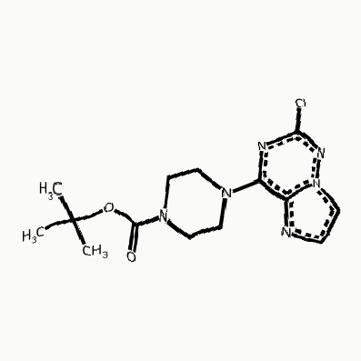 CC(C)(C)OC(=O)N1CCN(c2nc(Cl)nn3ccnc23)CC1